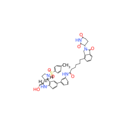 Cc1ccc(S(=O)(=O)N2CC[C@@H]3[C@H](CO)Nc4ccc(-c5cccc(NC(=O)CCCCCc6cccc7c6CN(C6CCC(=O)NC6=O)C7=O)c5)cc4[C@@H]32)cc1